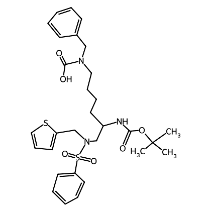 CC(C)(C)OC(=O)NC(CCCCN(Cc1ccccc1)C(=O)O)CN(Cc1cccs1)S(=O)(=O)c1ccccc1